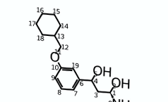 N[C@H](O)CC(O)c1cccc(OCC2CCCCC2)c1